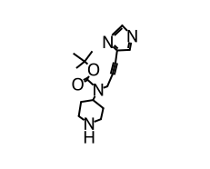 CC(C)(C)OC(=O)N(CC#Cc1cnccn1)C1CCNCC1